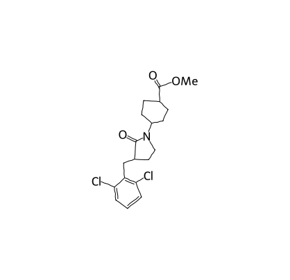 COC(=O)C1CCC(N2CCC(Cc3c(Cl)cccc3Cl)C2=O)CC1